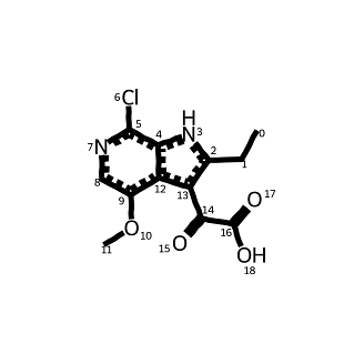 CCc1[nH]c2c(Cl)ncc(OC)c2c1C(=O)C(=O)O